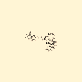 COCCN(CCCCc1ccc2c(n1)NCCC2)CCC(Nc1nccc2ccccc12)C(=O)O